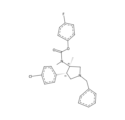 CN(C(=O)Oc1ccc(F)cc1)[C@@]1(C)CN(Cc2ccccc2)C[C@@H]1c1ccc(Cl)cc1